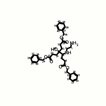 NCCNC(CCC(=O)OCc1ccccc1)C(O)(CCC(=O)OCc1ccccc1)CCC(=O)OCc1ccccc1